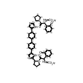 O=C(O)NC(C(=O)N1CCCC1c1ncc(-c2ccc(-c3ccc(-c4cnc([C@@H]5CCCN5C(=O)[C@H](NC(=O)O)c5ccccc5Cl)[nH]4)cc3)cc2)[nH]1)c1ccccc1Cl